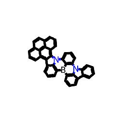 c1cc2c3c(c1)-n1c4c(cccc4c4c5cccc6ccc7cccc(c7c65)c41)B3c1cccc3c4ccccc4n-2c13